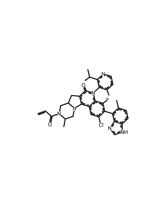 C=CC(=O)N1CC2Cc3c(c4cc(Cl)c(-c5c(C)ccc6[nH]cnc56)c(F)c4n(-c4c(C)ccnc4C(C)C)c3=O)N2CC1C